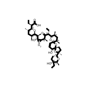 CC[C@@H](C(=O)O)[C@@H]1O[C@@H]([C@@H](C)[C@]2(O)[SiH2]C2[C@H](C)C(=O)[C@H](CC)[C@H]2O[C@]3(C=C[C@@H](O)[C@]4(CC[C@@](C)([C@H]5CC[C@](O)(CC)[C@H](C)O5)O4)O3)[C@H](C)C[C@@H]2C)[C@@H](C)C[C@@H]1C